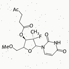 COCC1OC(n2ccc(=O)[nH]c2=O)[C@](C)(F)[C@@H]1OC(=O)CCC(C)=O